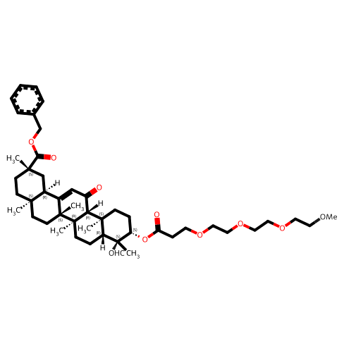 COCCOCCOCCOCCC(=O)O[C@H]1CC[C@]2(C)[C@H]3C(=O)C=C4[C@@H]5C[C@@](C)(C(=O)OCc6ccccc6)CC[C@]5(C)CC[C@@]4(C)[C@]3(C)CC[C@H]2[C@]1(C)C=O